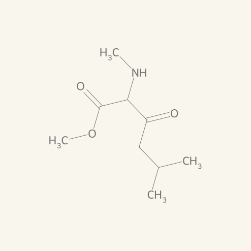 CNC(C(=O)CC(C)C)C(=O)OC